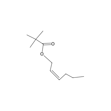 CCC/C=C\COC(=O)C(C)(C)C